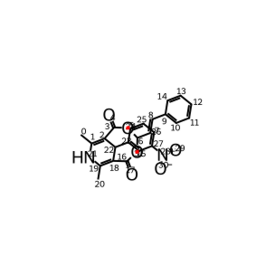 CC1=C2C(=O)OC(/C=C/c3ccccc3)OC(=O)C(=C(C)N1)C2c1cccc([N+](=O)[O-])c1